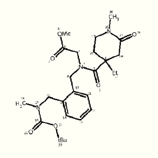 CCC1(C(=O)N(CC(=O)OC)Cc2ccccc2CN(C)C(=O)OC(C)(C)C)CCN(C)C(=O)C1